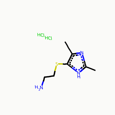 Cc1nc(C)c(SCCN)[nH]1.Cl.Cl